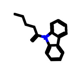 C=C(CCCC)n1c2ccccc2c2ccccc21